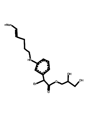 CCCCCCCCCC=CCCCNc1cccc(C(CC)C(=O)OCC(O)CO)c1